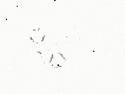 NC(=O)C(CCN(CC(=O)O)CC(=O)O)(c1ccccc1)c1ccccc1